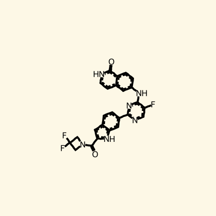 O=C(c1cc2ccc(-c3ncc(F)c(Nc4ccc5c(=O)[nH]ccc5c4)n3)cc2[nH]1)N1CC(F)(F)C1